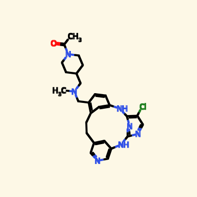 CC(=O)N1CCC(CN(C)Cc2ccc3cc2CCc2cncc(c2)Nc2ncc(Cl)c(n2)N3)CC1